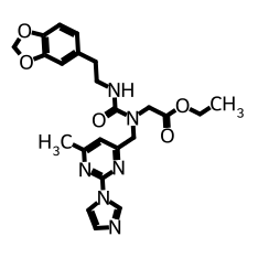 CCOC(=O)CN(Cc1cc(C)nc(-n2ccnc2)n1)C(=O)NCCc1ccc2c(c1)OCO2